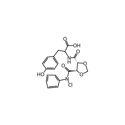 O=C(O)C(Cc1ccc(O)cc1)NC(=O)[C@@H]1OCO[C@H]1C(=O)N(Cl)c1ccccc1